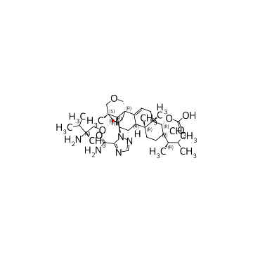 CC(C)[C@@H](C)[C@@]1(C)CC[C@]2(C)[C@H]3CC[C@@H]4[C@@]5(COC[C@@]4(C)[C@@H](OC[C@](C)(N)C(C)C)[C@H](n4ncnc4C(N)=O)C5)C3=CC[C@]2(C)[C@@H]1OC(=O)O